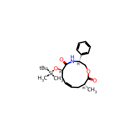 C[C@@H]1CC=CC[C@@H](O[Si](C)(C)C(C)(C)C)C(=O)N[C@H](c2ccccc2)COC1=O